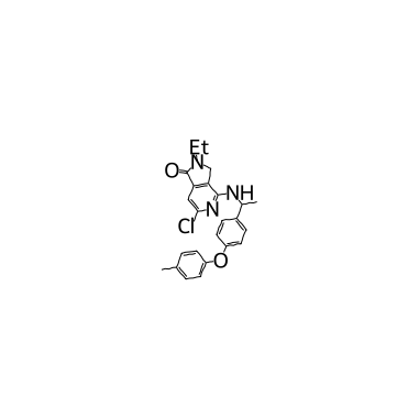 CCN1Cc2c(cc(Cl)nc2NC(C)c2ccc(Oc3ccc(C)cc3)cc2)C1=O